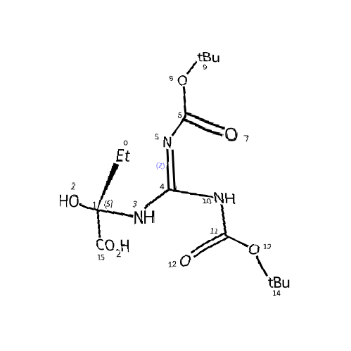 CC[C@@](O)(N/C(=N/C(=O)OC(C)(C)C)NC(=O)OC(C)(C)C)C(=O)O